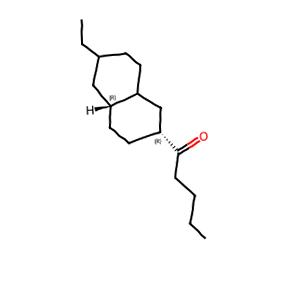 CCCCC(=O)[C@@H]1CC[C@@H]2CC(CC)CCC2C1